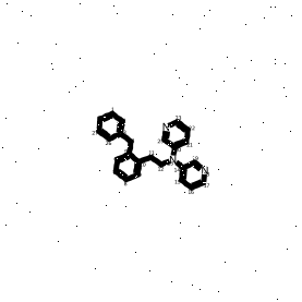 c1ccc(Cc2ccccc2CCN(c2cccnc2)c2cccnc2)cc1